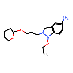 CCON1c2ccc(N)cc2CN1CCCOC1CCCCO1